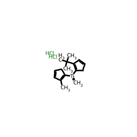 Cl.Cl.[CH2]=[Ti]([C]1=C(C)C=CC1)[C]1=C(C(C)(C)C)C=CC1